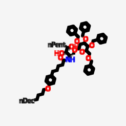 CCCCCCCCCCCCCCOc1ccc(CCCCC(=O)N[C@@H](COC2OC(COCc3ccccc3)C(OCc3ccccc3)C(OCc3ccccc3)C2OCc2ccccc2)[C@H](O)[C@H](O)CCCCC)cc1